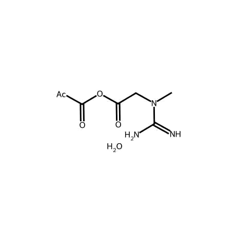 CC(=O)C(=O)OC(=O)CN(C)C(=N)N.O